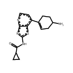 NC1CC=C(c2ccnc3nc(NC(=O)C4CC4)sc23)CC1